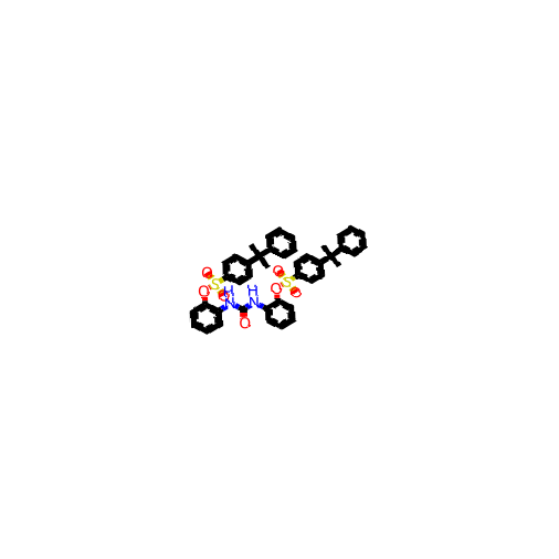 CC(C)(c1ccccc1)c1ccc(S(=O)(=O)Oc2ccccc2NC(=O)Nc2ccccc2OS(=O)(=O)c2ccc(C(C)(C)c3ccccc3)cc2)cc1